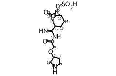 N=C(NC(=O)COC1CCNC1)C1CCC2CN1C(=O)N2OS(=O)(=O)O